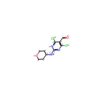 O=Cc1c(Cl)nc(NC2CCOCC2)nc1Cl